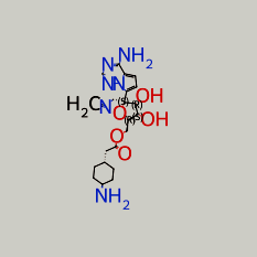 C=NC[C@@]1(c2ccc3c(N)ncnn23)O[C@H](COC(=O)C[C@H]2CC[C@H](N)CC2)[C@@H](O)[C@H]1O